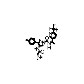 Cc1ccc(C2=NN(C(=O)NC(C)c3ccc(C(F)(F)F)nc3)C[C@@H]2N(C)C(=O)CN(C)C)cc1